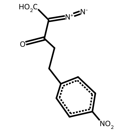 [N-]=[N+]=C(C(=O)O)C(=O)CCc1ccc([N+](=O)[O-])cc1